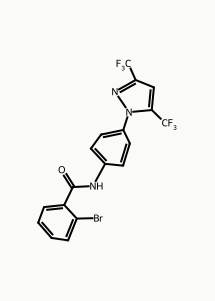 O=C(Nc1ccc(-n2nc(C(F)(F)F)cc2C(F)(F)F)cc1)c1ccccc1Br